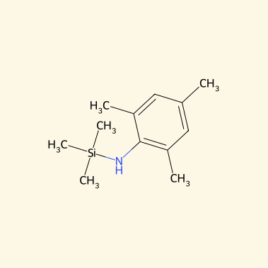 Cc1cc(C)c(N[Si](C)(C)C)c(C)c1